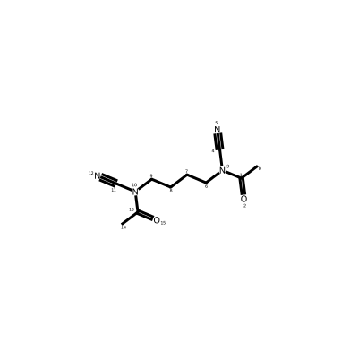 CC(=O)N(C#N)CCCCN(C#N)C(C)=O